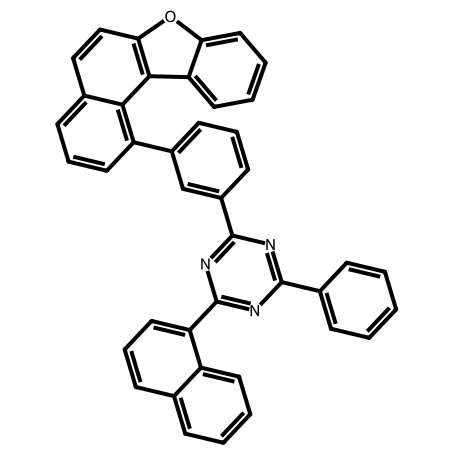 c1ccc(-c2nc(-c3cccc(-c4cccc5ccc6oc7ccccc7c6c45)c3)nc(-c3cccc4ccccc34)n2)cc1